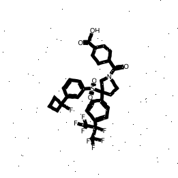 O=C(O)C1CCC(C(=O)N2CCC(c3ccc(C(F)(C(F)(F)F)C(F)(F)F)cc3)(S(=O)(=O)c3cccc(C4(F)CCC4)c3)C2)CC1